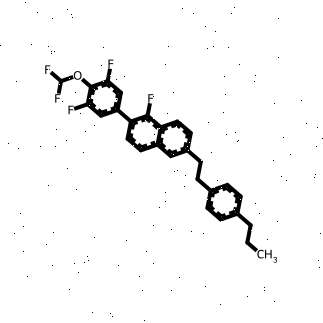 CCCc1ccc(CCc2ccc3c(F)c(-c4cc(F)c(OC(F)F)c(F)c4)ccc3c2)cc1